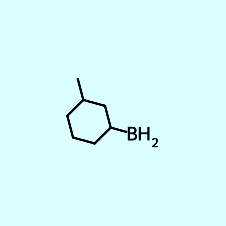 BC1CCCC(C)C1